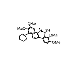 COc1ccc2c(c1OC)C(S)N(C)c1c-2ccc2c(C3=CCCCC3)c(OC)c(OC)cc12